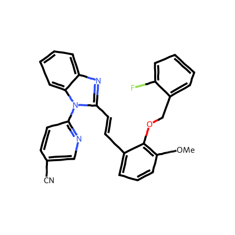 COc1cccc(C=Cc2nc3ccccc3n2-c2ccc(C#N)cn2)c1OCc1ccccc1F